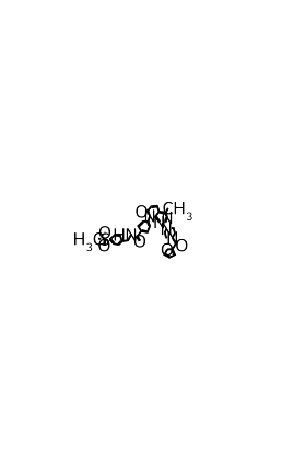 Cc1nc(N2CCN(C(=O)c3ccco3)CC2)nc2c1ccc(=O)n2-c1ccc(C(=O)NCc2ccc(S(C)(=O)=O)cc2)cc1